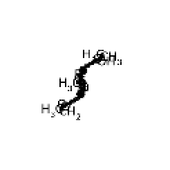 C=C(C)C(=O)OCCCCCCc1ccc(C(F)(F)Oc2ccc(OC(F)(F)c3ccc(CCCCCCOC(O)C(=C)C)cc3)c(C)c2)cc1